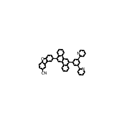 N#Cc1ccc2oc3ccc(-c4cc5c6ccccc6c(-c6cc(-c7ccccn7)cc(-c7ccccn7)c6)cc5c5ccccc45)cc3c2c1